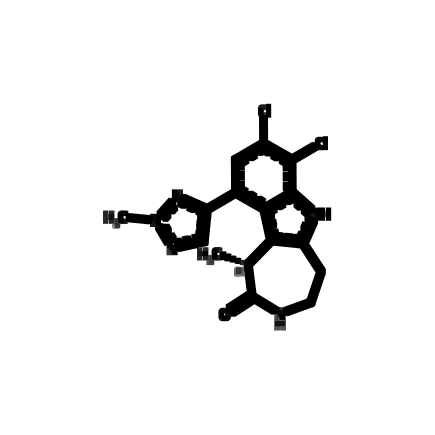 C[C@H]1C(=O)NCCc2[nH]c3c(Cl)c(Cl)cc(-c4cnn(C)n4)c3c21